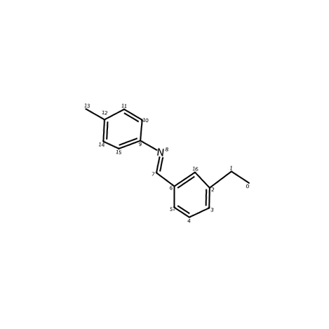 CCc1cc[c]c(C=Nc2ccc(C)cc2)c1